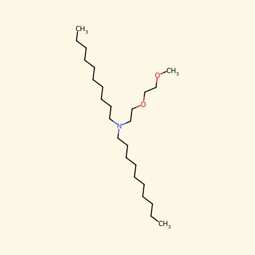 CCCCCCCCCCN(CCCCCCCCCC)CCOCCOC